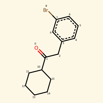 O=C(Cc1cccc(Br)c1)C1CCCCC1